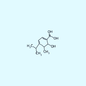 CC(C)C1=CC=C(B(O)O)C(O)C1C